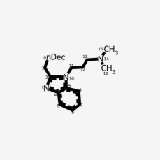 CCCCCCCCCCCc1nc2ccccc2n1CCCN(C)C